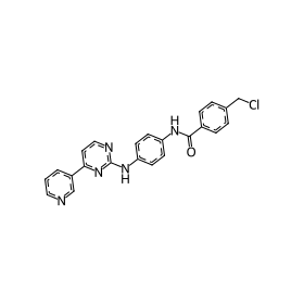 O=C(Nc1ccc(Nc2nccc(-c3cccnc3)n2)cc1)c1ccc(CCl)cc1